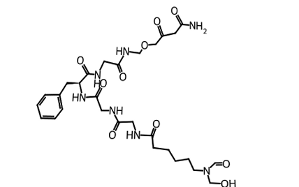 NC(=O)CC(=O)COCNC(=O)CNC(=O)[C@H](Cc1ccccc1)NC(=O)CNC(=O)CNC(=O)CCCCCN(C=O)CO